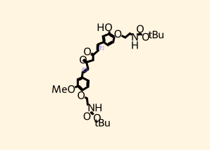 COc1cc(/C=C/C(=O)CC(=O)/C=C/c2ccc(OCCNC(=O)OC(C)(C)C)c(O)c2)ccc1OCCNC(=O)OC(C)(C)C